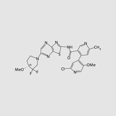 COc1cnc(Cl)cc1-c1cc(C)ncc1C(=O)Nc1nc2ncc(N3CC[C@@H](OC)C(F)(F)C3)nc2s1